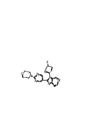 FC1C=CC(n2c(-c3cnc(N4CCOCC4)nc3)nc3ccncc32)=NC1